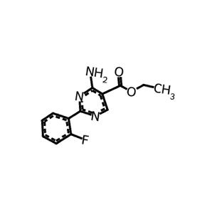 CCOC(=O)c1cnc(-c2ccccc2F)nc1N